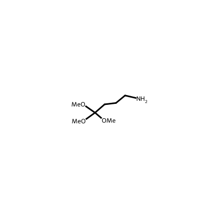 COC(CCCN)(OC)OC